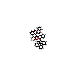 c1ccc(C2(c3ccccc3)c3ccccc3-c3c(-c4ccccc4N(c4ccc5ccccc5c4)c4ccccc4-c4cccc5cccc(C6CCCCC6)c45)cccc32)cc1